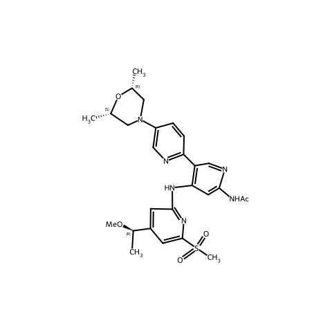 CO[C@H](C)c1cc(Nc2cc(NC(C)=O)ncc2-c2ccc(N3C[C@@H](C)O[C@@H](C)C3)cn2)nc(S(C)(=O)=O)c1